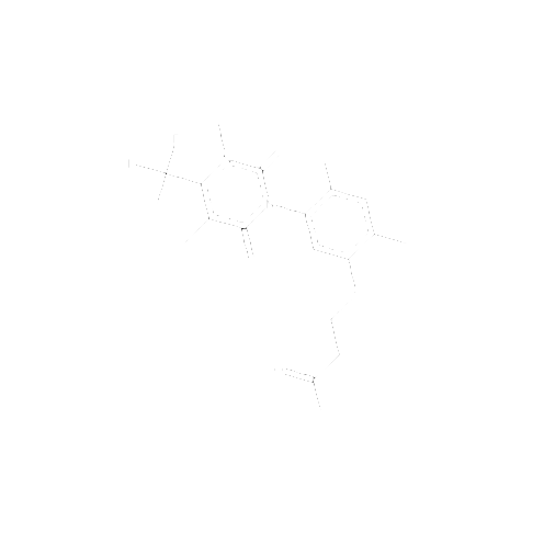 Cc1c(C(F)(F)F)n(C)c(=O)n(-c2cc(SCCC(=O)O)c(Cl)cc2F)c1=O